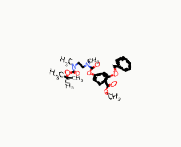 COC(=O)c1ccc(OC(=O)N(C)CCN(C)C(=O)OC(C)(C)C)cc1OCc1ccccc1